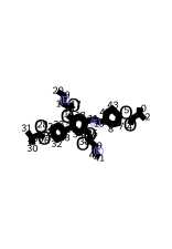 C=C(C)C(=O)Oc1ccc(/C=C/c2cc(OC(=O)/C=C/C)c(-c3ccc(OC(=O)C(=C)C)cc3)cc2OC(=O)/C=C/C)cc1